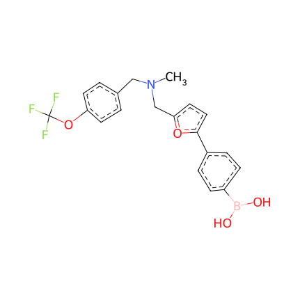 CN(Cc1ccc(OC(F)(F)F)cc1)Cc1ccc(-c2ccc(B(O)O)cc2)o1